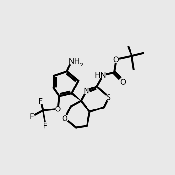 CC(C)(C)OC(=O)NC1=N[C@@]2(c3cc(N)ccc3OC(F)(F)F)COCCC2CS1